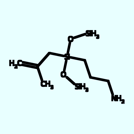 C=C(C)C[Si](CCCN)(O[SiH3])O[SiH3]